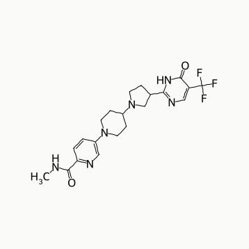 CNC(=O)c1ccc(N2CCC(N3CCC(c4ncc(C(F)(F)F)c(=O)[nH]4)C3)CC2)cn1